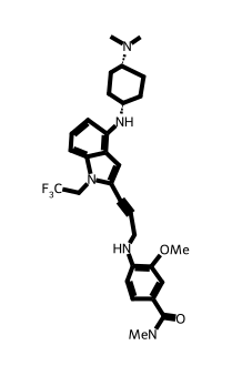 CNC(=O)c1ccc(NCC#Cc2cc3c(N[C@H]4CC[C@@H](N(C)C)CC4)cccc3n2CC(F)(F)F)c(OC)c1